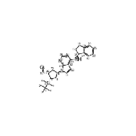 CC(C)(C)[Si](C)(C)[C@H]1C[C@H](n2ccc3c(N[C@H]4CCc5ccccc54)ncnc32)C[C@H]1C=O